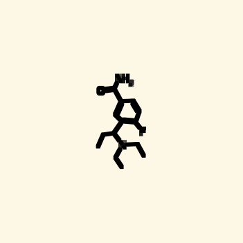 CCC(c1cc(C(N)=O)ccc1F)N(CC)CC